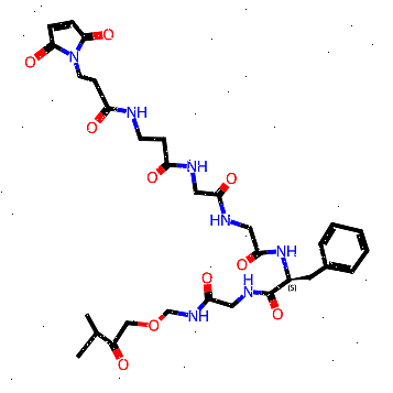 CC(C)C(=O)COCNC(=O)CNC(=O)[C@H](Cc1ccccc1)NC(=O)CNC(=O)CNC(=O)CCNC(=O)CCN1C(=O)C=CC1=O